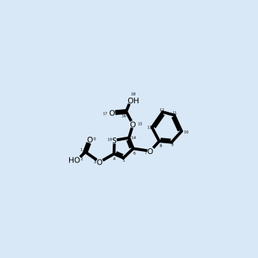 O=C(O)Oc1cc(Oc2ccccc2)c(OC(=O)O)s1